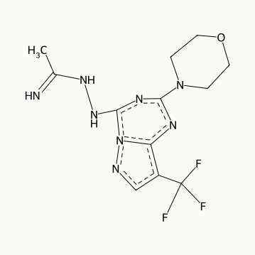 CC(=N)NNc1nc(N2CCOCC2)nc2c(C(F)(F)F)cnn12